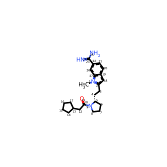 Cn1c(CC[C@@H]2CCCN2C(=O)CC2CCCC2)cc2ccc(C(=N)N)cc21